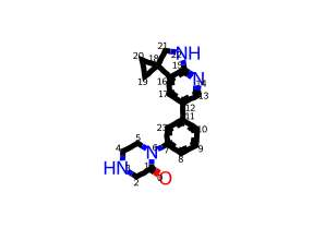 O=C1CNCCN1c1cccc(-c2cnc3c(c2)C2(CC2)CN3)c1